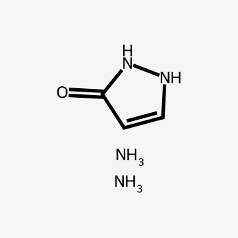 N.N.O=c1cc[nH][nH]1